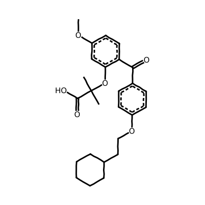 COc1ccc(C(=O)c2ccc(OCCC3CCCCC3)cc2)c(OC(C)(C)C(=O)O)c1